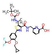 C[C@H](NC(=O)OC(C)(C)C)c1sc(-c2ccc(OC(F)F)c(OCC3CC3)c2)nc1C(=O)NCc1cccc(C(=O)O)n1